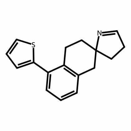 C1=NC2(CC1)CCc1c(cccc1-c1cccs1)C2